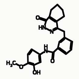 COc1ccc(NC(=O)c2cccc(Cc3n[nH]c(=O)c4c3CCCC4)c2)cc1O